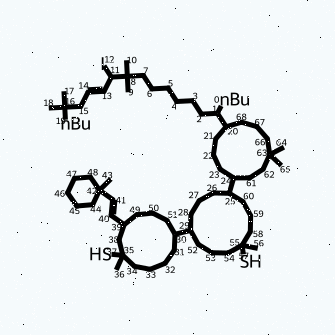 CCCCC(CCCCCCC(C)(C)C(I)C=CCC(C)(C)CCCC)C1CCCC(C2CCCC(C3CCCCC(C)(S)CC(C=CC4(C)CCCCC4)CCC3)CCCC(C)(S)CCC2)CCC(C)(C)CCC1